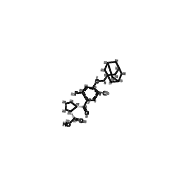 O=C(c1cc(Cl)c(OCC23CC4CC(CC(C4)C2)C3)cc1F)[C@H]1CCC[C@H]1C(=O)O